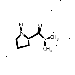 CCN1CCCC1C(=O)N(C)C